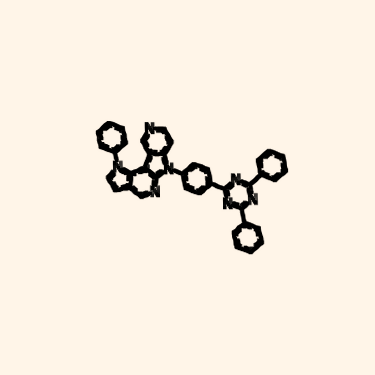 c1ccc(-c2nc(-c3ccccc3)nc(-c3ccc(-n4c5ccncc5c5c6c(ccn6-c6ccccc6)cnc54)cc3)n2)cc1